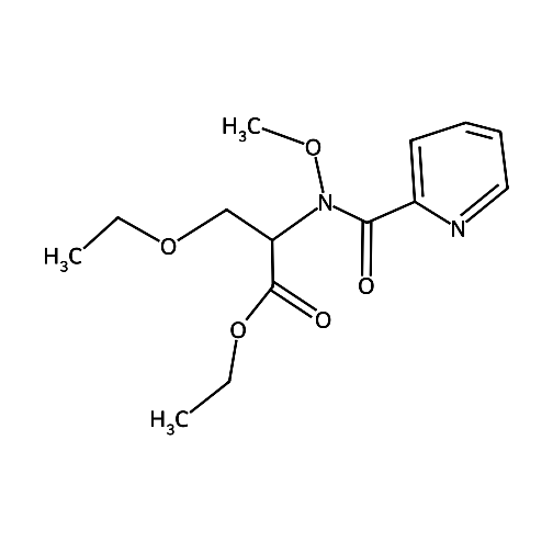 CCOCC(C(=O)OCC)N(OC)C(=O)c1ccccn1